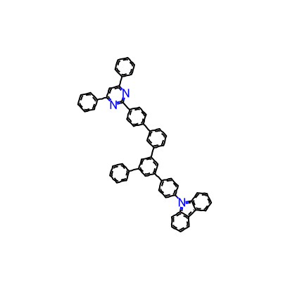 c1ccc(-c2cc(-c3ccc(-n4c5ccccc5c5ccccc54)cc3)cc(-c3cccc(-c4ccc(-c5nc(-c6ccccc6)cc(-c6ccccc6)n5)cc4)c3)c2)cc1